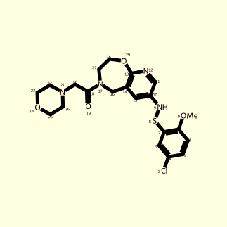 COc1ccc(Cl)cc1SNc1cnc2c(c1)CN(C(=O)CN1CCOCC1)CCO2